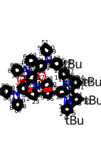 CC(C)(C)c1ccc2c(c1)c1cc(C(C)(C)C)cc3c1n2-c1cc(-c2ccc(-c4ccccc4N(c4ccccc4)c4c5oc6cc(N(c7ccccc7)c7ccccc7)ccc6c5c(N(c5ccccc5)c5ccccc5)c5oc6cc(N(c7ccccc7)c7ccccc7)ccc6c45)cc2)cc2c1B3c1cc(C(C)(C)C)cc3c4cc(C(C)(C)C)ccc4n-2c13